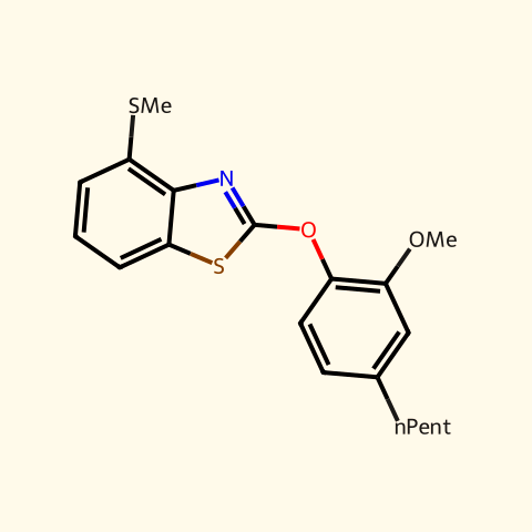 CCCCCc1ccc(Oc2nc3c(SC)cccc3s2)c(OC)c1